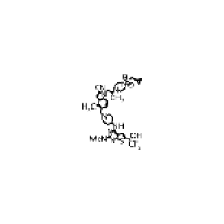 CNc1nc(NC2CCN(Cc3ccc4c(cc(C#N)n4C[C@H](C)N4CCN(S(=O)(=O)CC5CC5)CC4)c3C)CC2)c2cc(C(O)C(F)(F)F)sc2n1